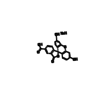 O=C(O)c1ccc2c(c1)C(=O)OC21c2ccc(O)cc2Oc2cc(O)ccc21.[NaH]